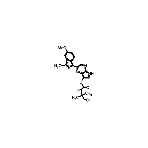 COc1ccc2c(-c3cnc4[nH]cc(OC(=O)NC(C)(C)CO)c4n3)nn(C)c2c1